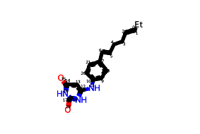 CC/C=C/CC/C=C/c1ccc(Nc2cc(=O)[nH]c(=O)[nH]2)cc1